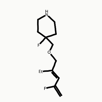 C=C(F)/C=C(\CC)COCC1(F)CCNCC1